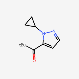 CC(C)(C)C(=O)c1ccnn1C1CC1